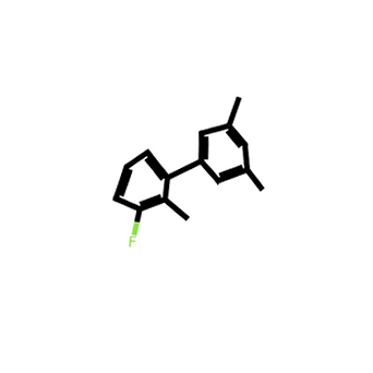 Cc1[c]c(-c2cccc(F)c2C)cc(C)c1